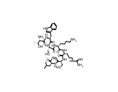 CC(C)C[C@H](NC(=O)[C@H](CO)NC(=O)[C@H](CCCNC(=N)N)NC(=O)[C@H](CCCCN)NC(=O)[C@H](CO)NC(=O)[C@H](Cc1c[nH]c2ccccc12)NC(=O)[C@@H](N)[C@@H](C)O)C(N)=O